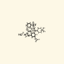 O=C(NC1CCC(F)(F)CC1)C(c1cnccc1C(F)(F)F)N(C(=O)N1CC[C@@H]1CO)c1ccc(C2CC2)cc1F